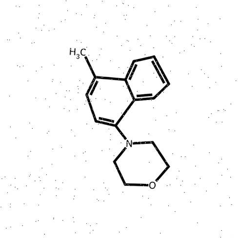 Cc1ccc(N2CCOCC2)c2ccccc12